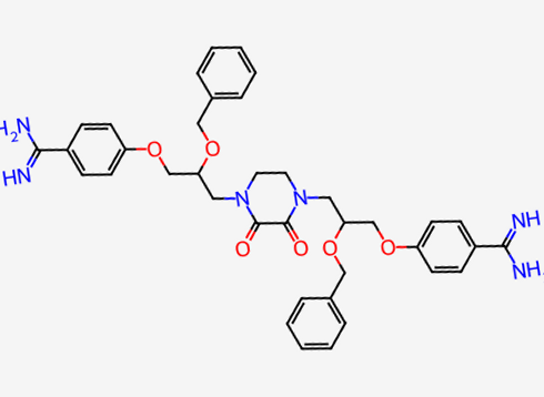 N=C(N)c1ccc(OCC(CN2CCN(CC(COc3ccc(C(=N)N)cc3)OCc3ccccc3)C(=O)C2=O)OCc2ccccc2)cc1